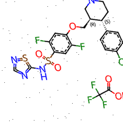 CN1CC[C@H](c2ccc(Cl)cc2)[C@@H](COc2cc(F)c(S(=O)(=O)Nc3ncns3)cc2F)C1.O=C(O)C(F)(F)F